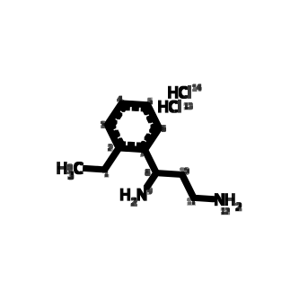 CCc1ccccc1C(N)CCN.Cl.Cl